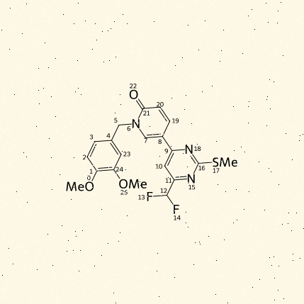 COc1ccc(Cn2cc(-c3cc(C(F)F)nc(SC)n3)ccc2=O)cc1OC